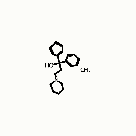 C.OC(CCN1CCCCC1)(c1ccccc1)c1ccccc1